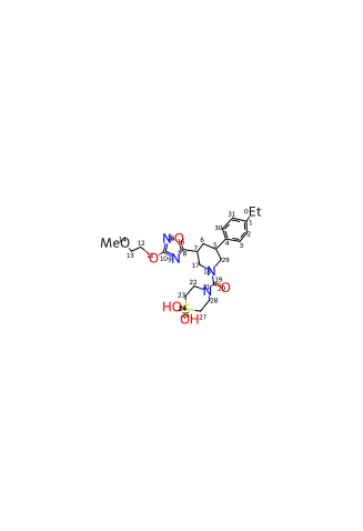 CCc1ccc(C2CC(c3nc(OCCOC)no3)CN(C(=O)N3CCS(O)(O)CC3)C2)cc1